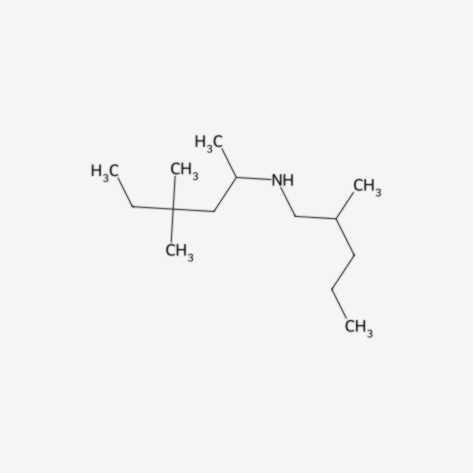 CCCC(C)CNC(C)CC(C)(C)CC